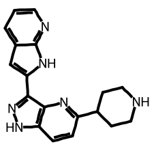 c1cnc2[nH]c(-c3n[nH]c4ccc(C5CCNCC5)nc34)cc2c1